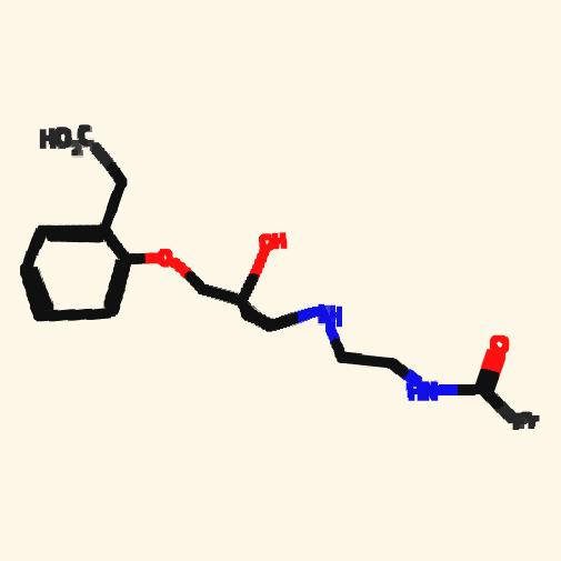 CC(C)C(=O)NCCNCC(O)COc1ccccc1CC(=O)O